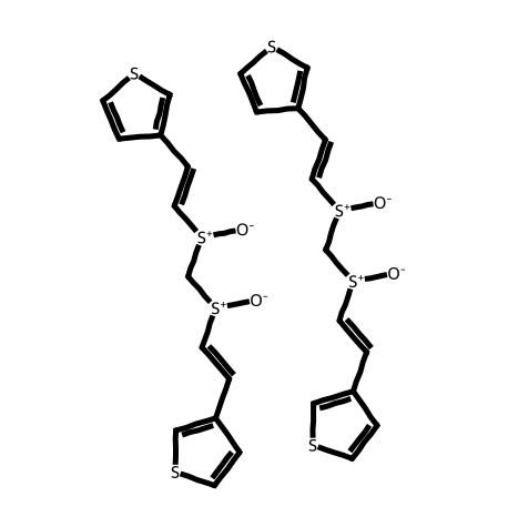 [O-][S+](C=Cc1ccsc1)C[S+]([O-])C=Cc1ccsc1.[O-][S+](C=Cc1ccsc1)C[S+]([O-])C=Cc1ccsc1